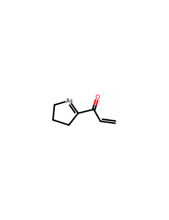 C=CC(=O)C1=[As]CCC1